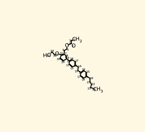 C=CC(=O)OCCc1cc(-c2ccc(CCc3ccc(CCCCC)cc3)cc2)ccc1OCCO